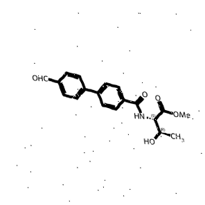 COC(=O)[C@@H](NC(=O)c1ccc(-c2ccc(C=O)cc2)cc1)[C@@H](C)O